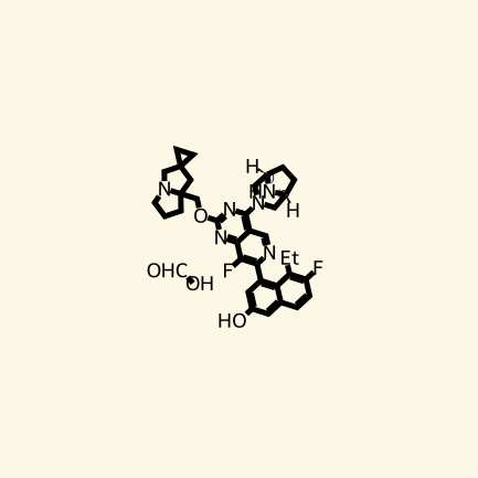 CCc1c(F)ccc2cc(O)cc(-c3ncc4c(N5C[C@H]6CC[C@@H](C5)N6)nc(OCC56CCCN5CC5(CC5)C6)nc4c3F)c12.O=CO